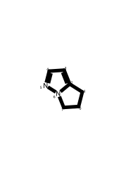 [C]1Cc2ccnn2C1